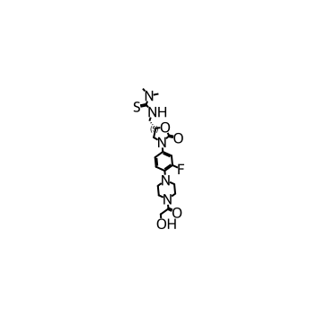 CN(C)C(=S)NC[C@H]1CN(c2ccc(N3CCN(C(=O)CO)CC3)c(F)c2)C(=O)O1